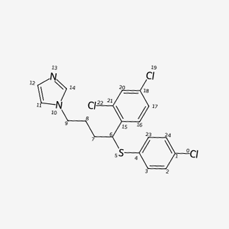 Clc1ccc(SC(CCCn2ccnc2)c2ccc(Cl)cc2Cl)cc1